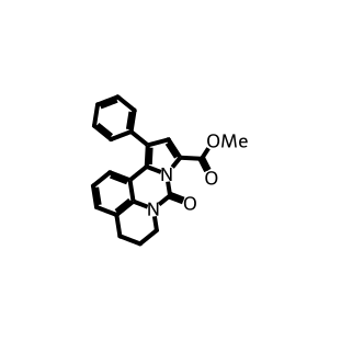 COC(=O)c1cc(-c2ccccc2)c2c3cccc4c3n(c(=O)n12)CCC4